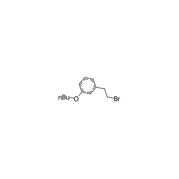 CCCCOc1cccc(CCBr)c1